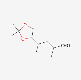 CC(C=O)CC(C)C1COC(C)(C)O1